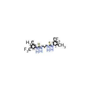 Cc1cc(NC(=S)NCCCNC(=S)Nc2cc(C)cc(C(F)(F)F)c2)cc(C(F)(F)F)c1